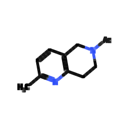 CC(=O)N1CCc2nc(C)ccc2C1